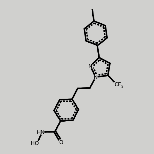 Cc1ccc(-c2cc(C(F)(F)F)n(CCc3ccc(C(=O)NO)cc3)n2)cc1